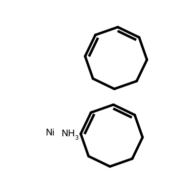 C1=CCCCCC=C1.C1=CCCCCC=C1.N.[Ni]